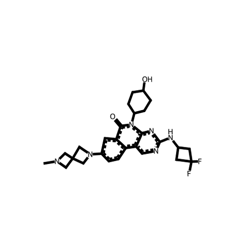 CN1CC2(C1)CN(c1ccc3c(c1)c(=O)n(C1CCC(O)CC1)c1nc(NC4CC(F)(F)C4)ncc31)C2